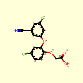 N#Cc1cc(Cl)cc(Oc2cc(Cl)ccc2OCC(=O)O)c1